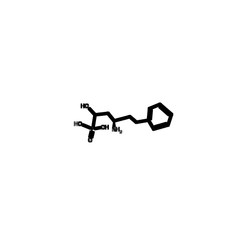 N[C@H](CCc1ccccc1)CC(O)P(=O)(O)O